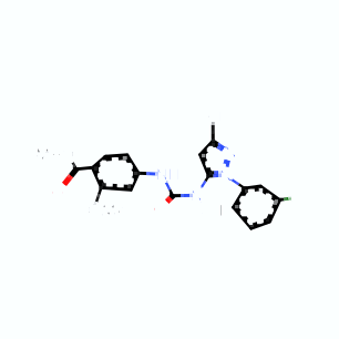 COC(=O)c1ccc(NC(=O)N(C)c2cc(C(F)(F)F)nn2-c2cccc(Cl)c2)cc1OC